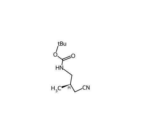 C[C@H](CC#N)CNC(=O)OC(C)(C)C